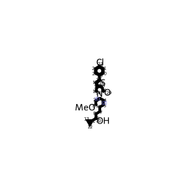 COC/C=C(\C=C/CCC[C@H](O)C1CC1)N1Cc2cc(-c3ccc(Cl)cc3)sc2C1=O